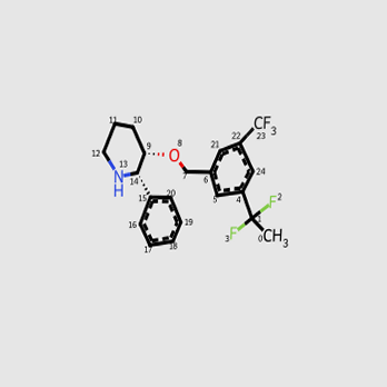 CC(F)(F)c1cc(CO[C@H]2CCCN[C@H]2c2ccccc2)cc(C(F)(F)F)c1